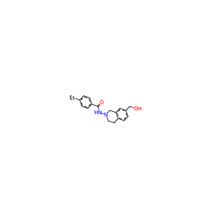 CCc1ccc(C(=O)NN2CCc3ccc(CO)cc3C2)cc1